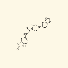 C[C@@H]1CN(c2ccc3c(c2)OCO3)CCN1C(=O)CNC1=CC=C2NC(=O)OC2C1